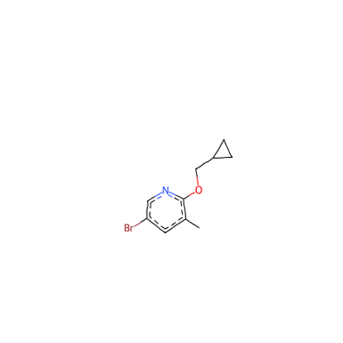 Cc1cc(Br)cnc1OCC1CC1